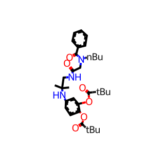 CCCCN(CC(=O)NCC(C)(C)Nc1ccc(OC(=O)C(C)(C)C)c(OC(=O)C(C)(C)C)c1)C(=O)c1ccccc1